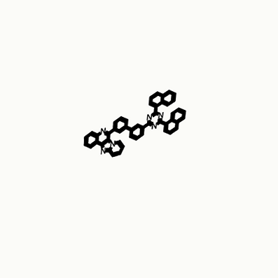 c1cc(-c2cccc(-c3nc4ccccc4c4nc5ccccn5c34)c2)cc(-c2nc(-c3cccc4ccccc34)nc(-c3cccc4ccccc34)n2)c1